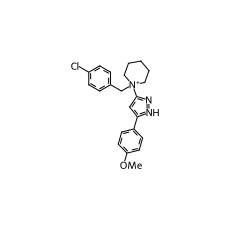 COc1ccc(-c2cc([N+]3(Cc4ccc(Cl)cc4)CCCCC3)n[nH]2)cc1